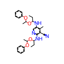 CCC(Nc1cnc(NC(CC)OC(C)Oc2ccccc2)c(C#N)c1C)OC(C)Oc1ccccc1